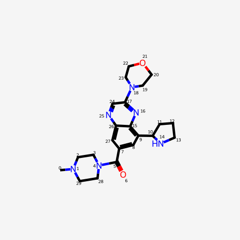 CN1CCN(C(=O)c2cc(C3CCCN3)c3nc(N4CCOCC4)cnc3c2)CC1